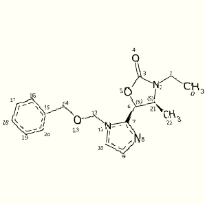 CCN1C(=O)O[C@H](c2nccn2COCc2ccccc2)[C@@H]1C